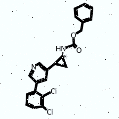 O=C(N[C@@H]1CC1c1cncc(-c2cccc(Cl)c2Cl)c1)OCc1ccccc1